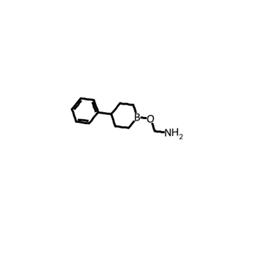 NCOB1CCC(c2ccccc2)CC1